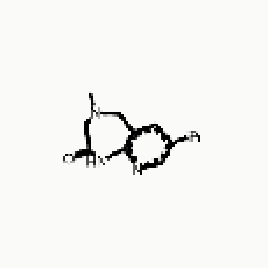 CC(C)c1cnc2c(c1)CN(C)CC(=O)N2